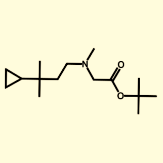 CN(CCC(C)(C)C1CC1)CC(=O)OC(C)(C)C